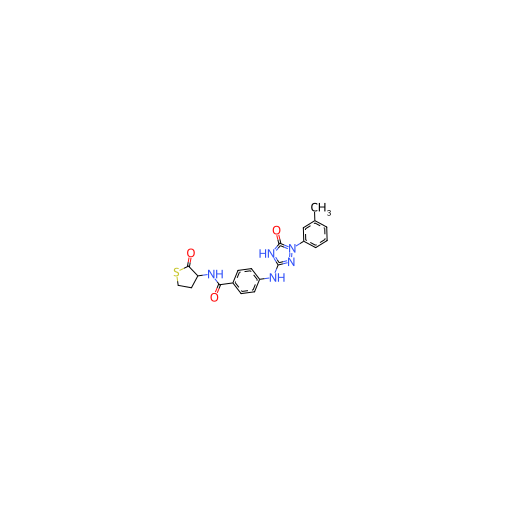 Cc1cccc(-n2nc(Nc3ccc(C(=O)NC4CCSC4=O)cc3)[nH]c2=O)c1